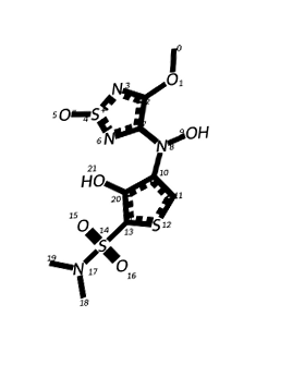 COc1n[s+]([O-])nc1N(O)c1csc(S(=O)(=O)N(C)C)c1O